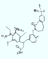 CCN(N)c1c(OC)cc(C(CC(=O)O)c2ccc(C)c(CN3CCCc4ccc(C(F)(F)F)cc4[S+]3[O-])c2)c(C)c1N